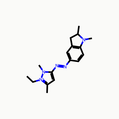 CC[n+]1c(C)cc(N=Nc2ccc3c(c2)CC(C)N3C)n1C